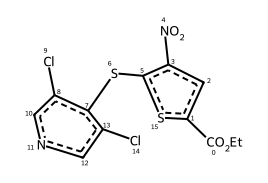 CCOC(=O)c1cc([N+](=O)[O-])c(Sc2c(Cl)cncc2Cl)s1